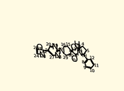 O=C1N2[C@@H](CC[C@H]2c2ccccc2)OC12CCN(c1ncc(-c3ncco3)cn1)CC2